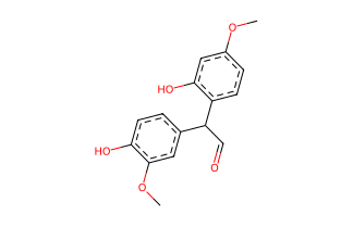 COc1ccc(C(C=O)c2ccc(O)c(OC)c2)c(O)c1